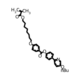 C=C(C)C(=O)OCCCCCCCCOc1ccc(C(=O)Oc2ccc(-c3ccc(OCCCC)cn3)cc2)cc1